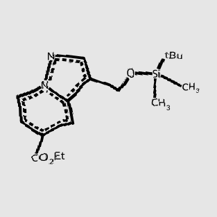 CCOC(=O)c1ccn2ncc(CO[Si](C)(C)C(C)(C)C)c2c1